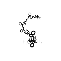 CCOCCOC(=O)CCCCCOC(=O)CCC(=O)N1CCN(c2cc3c(c4ccccc24)N=CC2(O3)N(C)c3ccccc3C2(C)C)CC1